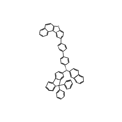 c1ccc(C2(c3ccccc3)c3ccccc3-c3ccc(N(c4ccc(-c5ccc(-c6ccc7oc8ccc9ccccc9c8c7c6)cc5)cc4)c4ccc5ccccc5c4)cc32)cc1